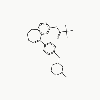 CN1CCC[C@H](Oc2ccc(C3=CCCCc4ccc(OC(=O)C(C)(C)C)cc43)cc2)C1